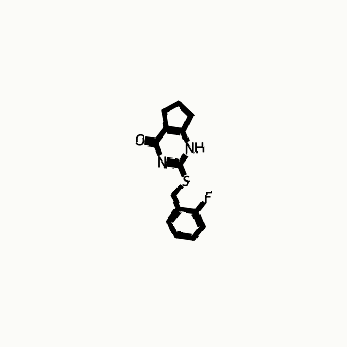 O=c1nc(SCc2ccccc2F)[nH]c2c1CCC2